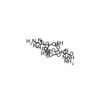 COC1C2COP(=O)(S)OC3C(COP(S)OC1C(n1cnc4c(=O)[nH]c(N)nc41)O2)OC(n1cnc2c(N)ncnc21)C3F